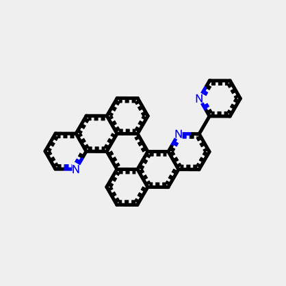 c1ccc(-c2ccc3cc4cccc5c4c(c4cccc6cc7cccnc7c5c64)c3n2)nc1